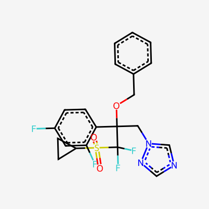 O=S(=O)(C1CC1)C(F)(F)C(Cn1cncn1)(OCc1ccccc1)c1ccc(F)cc1F